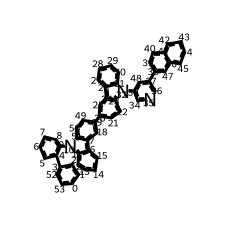 c1ccc(-c2ccccc2-n2c3ccccc3c3cc(-c4ccc5c(c4)c4ccccc4n5-c4cncc(-c5ccc6ccccc6c5)c4)ccc32)cc1